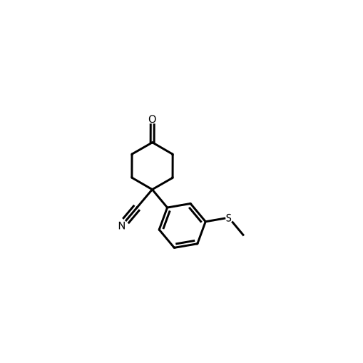 CSc1cccc(C2(C#N)CCC(=O)CC2)c1